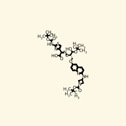 CC(C)(C)OC(=O)Nc1nc(/C(=N/O[C@@H](COc2ccc3nc(NC4CN(C(=O)OC(C)(C)C)C4)ccc3c2)C(O)OC(C)(C)C)C(=O)O)cs1